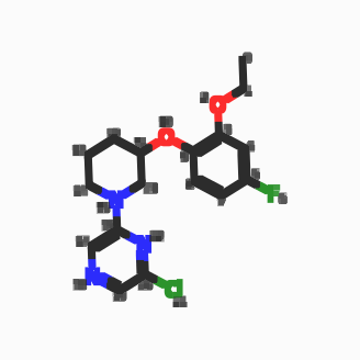 CCOc1cc(F)ccc1OC1CCCN(c2cncc(Cl)n2)C1